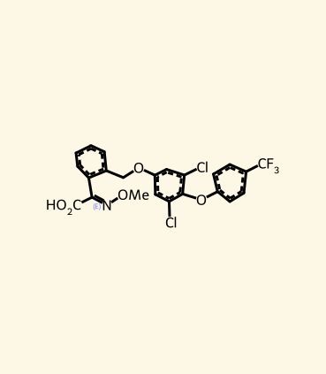 CO/N=C(/C(=O)O)c1ccccc1COc1cc(Cl)c(Oc2ccc(C(F)(F)F)cc2)c(Cl)c1